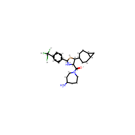 NC1CCCN(C(=O)C2NC(c3ccc(C(F)(F)F)cc3)SC2C2CCC3CC3CC2)CC1